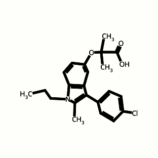 CCCn1c(C)c(-c2ccc(Cl)cc2)c2cc(OC(C)(C)C(=O)O)ccc21